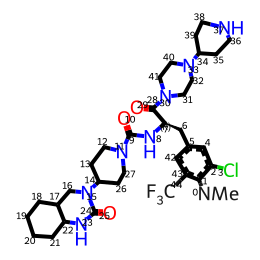 CNc1c(Cl)cc(C[C@@H](NC(=O)N2CCC(N3CC4CCCCC4NC3=O)CC2)C(=O)N2CCN(C3CCNCC3)CC2)cc1C(F)(F)F